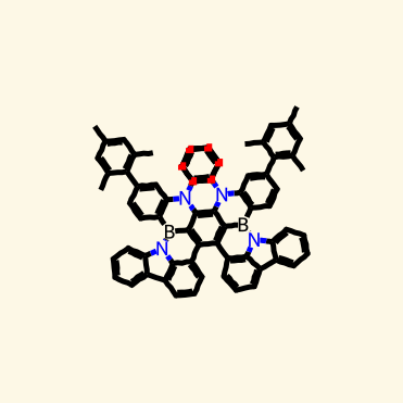 Cc1cc(C)c(-c2ccc3c(c2)N(c2ccccc2)c2c4c(c5c6c2N(c2ccccc2)c2cc(-c7c(C)cc(C)cc7C)ccc2B6n2c6ccccc6c6cccc-5c62)-c2cccc5c6ccccc6n(c25)B34)c(C)c1